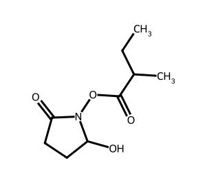 CCC(C)C(=O)ON1C(=O)CCC1O